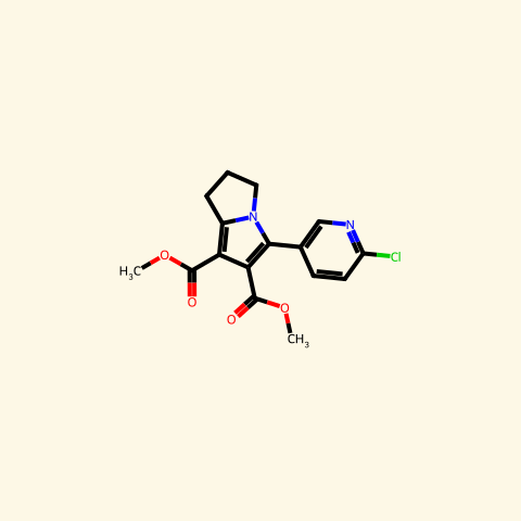 COC(=O)c1c(C(=O)OC)c(-c2ccc(Cl)nc2)n2c1CCC2